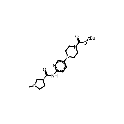 CN1CC[C@H](C(=O)Nc2ccc(N3CCN(C(=O)OC(C)(C)C)CC3)cn2)C1